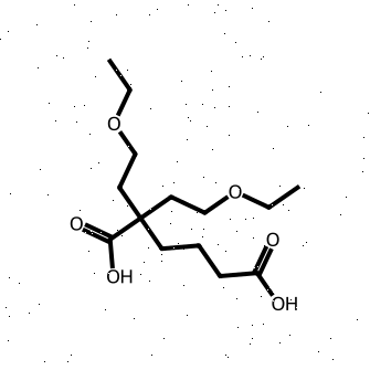 CCOCCC(CCCC(=O)O)(CCOCC)C(=O)O